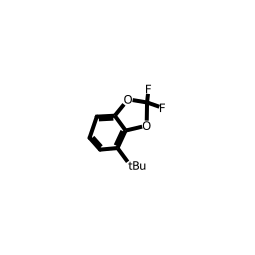 CC(C)(C)c1cccc2c1OC(F)(F)O2